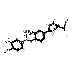 CNN(Cc1ccc(-c2nnc(C(F)F)o2)cc1C=O)c1ccc(F)c(Cl)c1